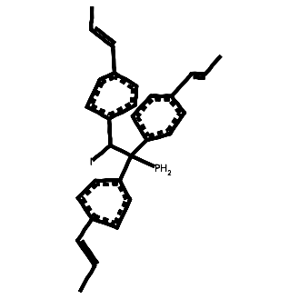 CC=Cc1ccc(C(I)C(P)(c2ccc(C=CC)cc2)c2ccc(C=CC)cc2)cc1